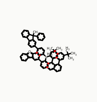 CC(C)(C)c1cc(-c2cccc3cccc(-c4ccccc4N(c4ccc(-c5ccc6c(c5)C(C)(c5ccccc5)c5ccccc5-6)cc4)c4ccccc4-c4ccc5oc6ccccc6c5c4)c23)cc(C(C)(C)C)c1